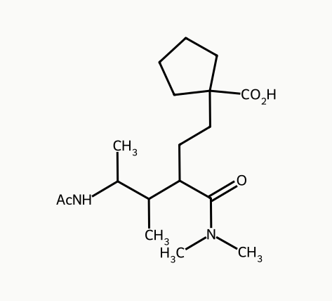 CC(=O)NC(C)C(C)C(CCC1(C(=O)O)CCCC1)C(=O)N(C)C